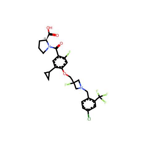 O=C(O)[C@@H]1CCCN1C(=O)c1cc(C2CC2)c(OCC2(F)CN(Cc3ccc(Cl)cc3C(F)(F)F)C2)cc1F